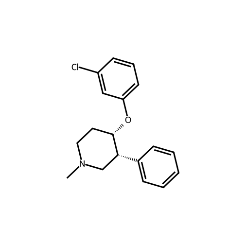 CN1CC[C@H](Oc2cccc(Cl)c2)[C@H](c2ccccc2)C1